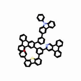 c1ccc(-c2cccc3c2sc2c(-c4cc(-c5cc6c7ccccc7c7ccccc7c6cn5)cc(-c5cc6c7ccccc7c7ccccc7c6cc5-c5cccc(-c6ccc7c(c6)c6ccccc6n7-c6ccccc6)c5)c4)cccc23)cc1